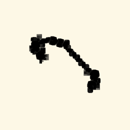 COc1cc2ncnc(Nc3ccc(F)c(Cl)c3)c2cc1NC(=O)/C=C/CN1CCC(N2CCN(C(=O)COCCOCCOCCOCCOCCNc3cccc4c3CN(C3CCC(=O)NC3=O)C4=O)CC2)CC1